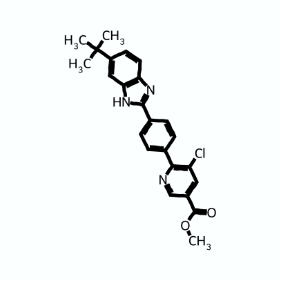 COC(=O)c1cnc(-c2ccc(-c3nc4ccc(C(C)(C)C)cc4[nH]3)cc2)c(Cl)c1